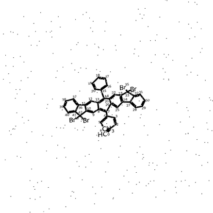 C#C/C=C\C(=C/C)c1c2cc3c(cc2c(-c2ccccc2)c2cc4c(cc12)-c1ccccc1C4(Br)Br)-c1ccccc1C3(Br)Br